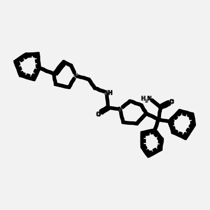 NC(=O)C(c1ccccc1)(c1ccccc1)C1CCN(C(=O)NCCN2CC=C(c3ccccc3)CC2)CC1